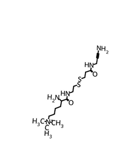 C[N+](C)(C)CCCCC(N)C(=O)NCCSSCCC(=O)NCC#CN